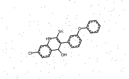 OC1C(c2cccc(Oc3ccccc3)c2)=[C]([Sn])Nc2cc(Cl)ccc21